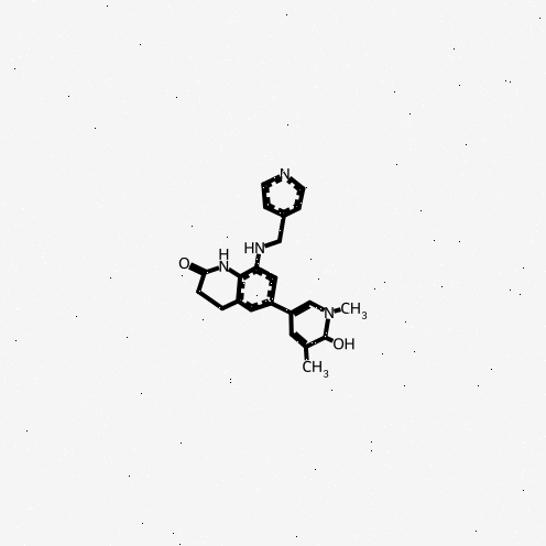 CC1=CC(c2cc3c(c(NCc4ccncc4)c2)NC(=O)CC3)=CN(C)C1O